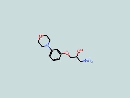 NCC(O)COc1cccc(N2CCOCC2)c1